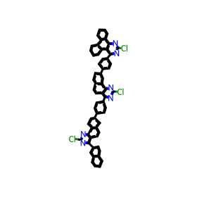 Clc1nc(-c2ccc3ccccc3c2)c2ccc3cc(-c4ccc(-c5nc(Cl)nc6c5ccc5ccc(-c7ccc(-c8nc(Cl)nc9c%10ccccc%10c%10ccccc%10c89)cc7)cc56)cc4)ccc3c2n1